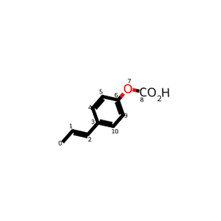 CC=Cc1ccc(OC(=O)O)cc1